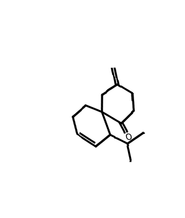 C=C1CCC(=O)C2(CCC=CC2C(C)C)C1